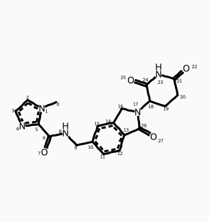 Cn1ccnc1C(=O)NCc1ccc2c(c1)CN(C1CCC(=O)NC1=O)C2=O